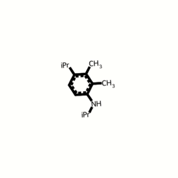 Cc1c(NC(C)C)ccc(C(C)C)c1C